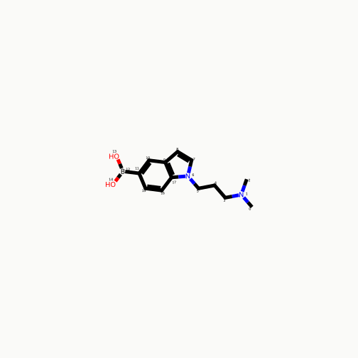 CN(C)CCCn1ccc2cc(B(O)O)ccc21